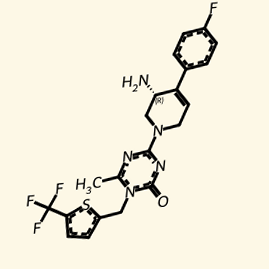 Cc1nc(N2CC=C(c3ccc(F)cc3)[C@@H](N)C2)nc(=O)n1Cc1ccc(C(F)(F)F)s1